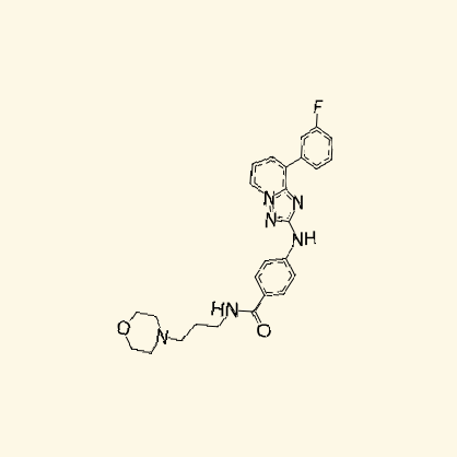 O=C(NCCCN1CCOCC1)c1ccc(Nc2nc3c(-c4cccc(F)c4)cccn3n2)cc1